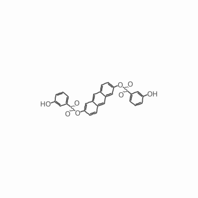 O=S(=O)(Oc1ccc2cc3cc(OS(=O)(=O)c4cccc(O)c4)ccc3cc2c1)c1cccc(O)c1